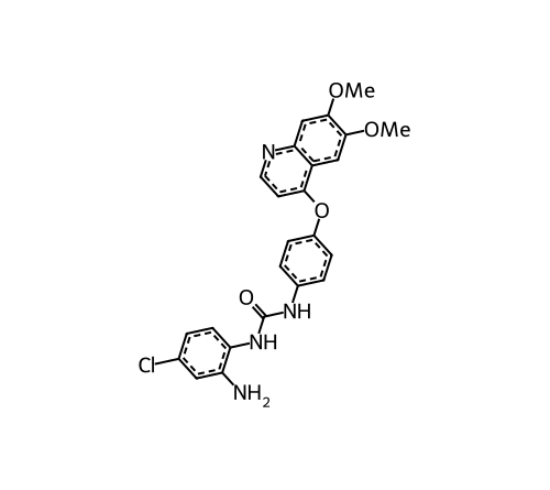 COc1cc2nccc(Oc3ccc(NC(=O)Nc4ccc(Cl)cc4N)cc3)c2cc1OC